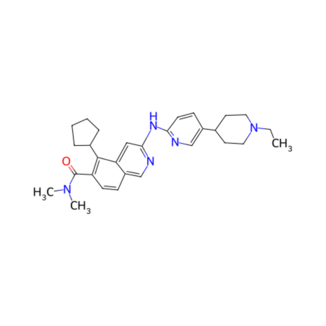 CCN1CCC(c2ccc(Nc3cc4c(C5CCCC5)c(C(=O)N(C)C)ccc4cn3)nc2)CC1